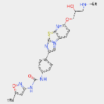 CCNCC(O)COc1ccc2c(n1)sc1nc(-c3ccc(NC(=O)Nc4cc(C(C)(C)C)on4)cc3)cn12